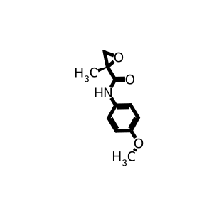 COc1ccc(NC(=O)[C@]2(C)CO2)cc1